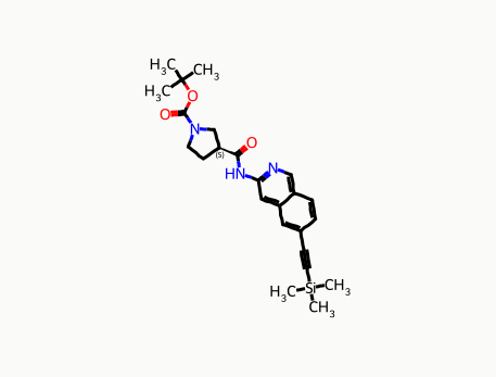 CC(C)(C)OC(=O)N1CC[C@H](C(=O)Nc2cc3cc(C#C[Si](C)(C)C)ccc3cn2)C1